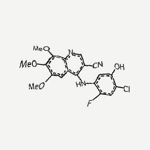 COc1cc2c(Nc3cc(O)c(Cl)cc3F)c(C#N)cnc2c(OC)c1OC